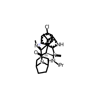 C=Nc1[nH]cc(C)c1/C(=N\C)N1CC2CCC(C1)N2C(=O)[C@H](CNC(C)C)c1ccc(Cl)cc1